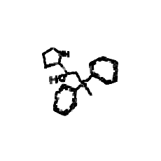 CS(C[C@@H](O)[C@H]1CCCN1)(c1ccccc1)c1ccccc1